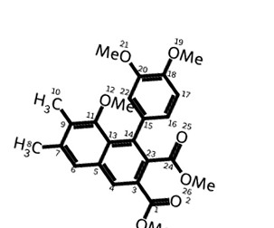 COC(=O)c1cc2cc(C)c(C)c(OC)c2c(-c2ccc(OC)c(OC)c2)c1C(=O)OC